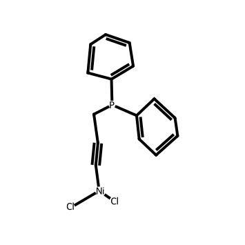 [Cl][Ni]([Cl])[C]#CCP(c1ccccc1)c1ccccc1